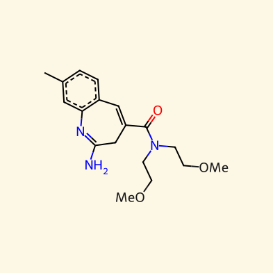 COCCN(CCOC)C(=O)C1=Cc2ccc(C)cc2N=C(N)C1